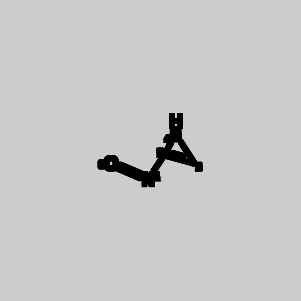 O=NC1=CB1